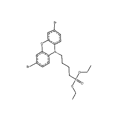 CCOP(=O)(CCCCN1c2ccc(Br)cc2Oc2cc(Br)ccc21)OCC